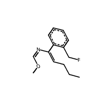 CCC/C=C(/N=C\OC)c1ccccc1CF